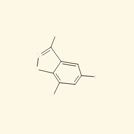 Cc1nsc2c(F)cc(F)cc12